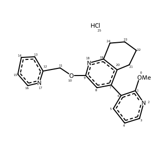 COc1ncccc1-c1cc(OCc2ccccn2)nc2c1CCCC2.Cl